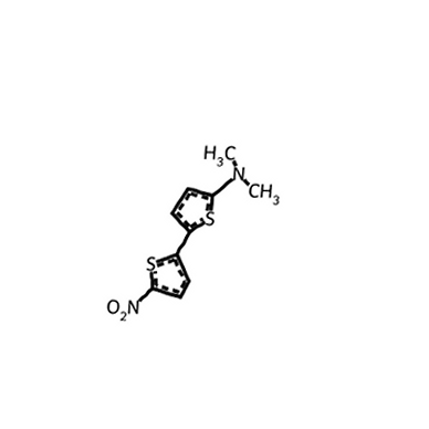 CN(C)c1ccc(-c2ccc([N+](=O)[O-])s2)s1